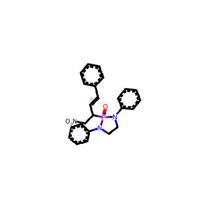 O=[N+]([O-])CC(/C=C/c1ccccc1)P1(=O)N(c2ccccc2)CCN1c1ccccc1